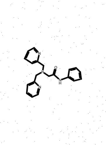 O=C(CN(Cc1ccccn1)Cc1ccccn1)Nc1ccccc1